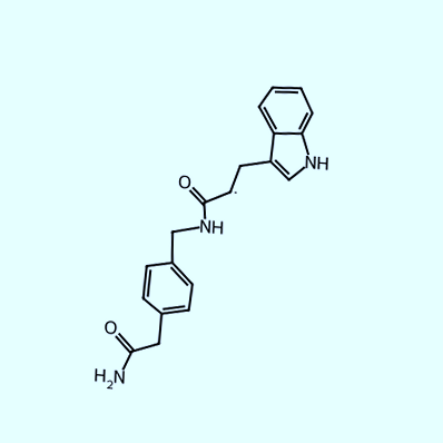 NC(=O)Cc1ccc(CNC(=O)[CH]Cc2c[nH]c3ccccc23)cc1